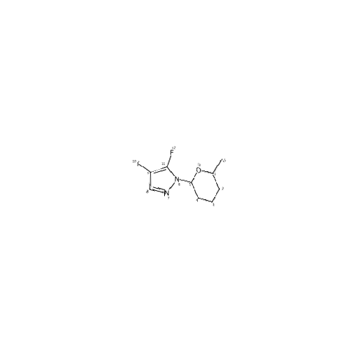 CC1CCCC(n2ncc(I)c2F)O1